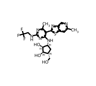 Cc1cc2sc(-c3c(C)nc(NCC(F)(F)F)nc3N[C@@H]3C[C@H](CO)[C@@H](O)[C@H]3O)nc2cn1